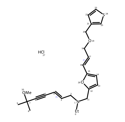 CCN(C/C=C/C#CC(C)(C)OC)Cc1ccc(/C=C/COCc2ccsc2)o1.Cl